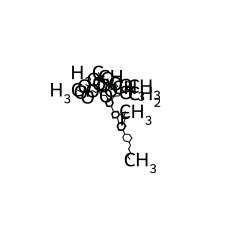 C=C(C)C(=O)OCCCc1cc(-c2ccc(-c3ccc(C4CCC(CCCCC)CC4)cc3F)c(CC)c2)ccc1OCC(COC(=O)C(=C)C)(COC(=O)C(=O)OC)COC(=O)C(=O)OC